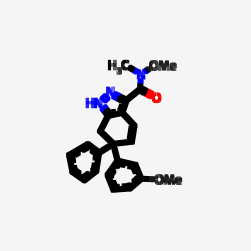 COc1cccc(C2(c3ccccc3)C=Cc3c(C(=O)N(C)OC)n[nH]c3C2)c1